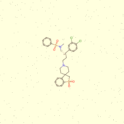 CN(C[C@@H](CCN1CCC2(CC1)CS(=O)(=O)c1ccccc12)c1ccc(Cl)c(Cl)c1)S(=O)(=O)c1ccccc1